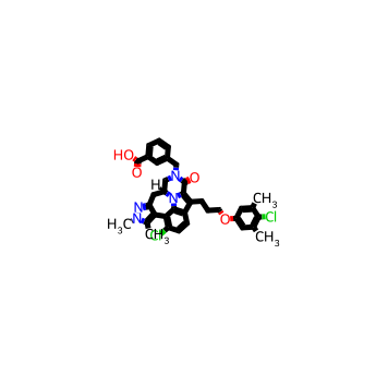 Cc1cc(OCCCc2c3n4c5c(c(Cl)ccc25)-c2c(nn(C)c2C)C[C@@H]4CN(Cc2cccc(C(=O)O)c2)C3=O)cc(C)c1Cl